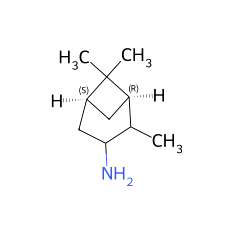 CC1C(N)C[C@@H]2C[C@H]1C2(C)C